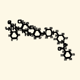 CN([SH]=O)c1ccccc1Nc1nc(Nc2ccc(N3CCN(CC4CCN(OC(=O)c5ccccc5)CC4)CC3)cc2Cl)ncc1Cl